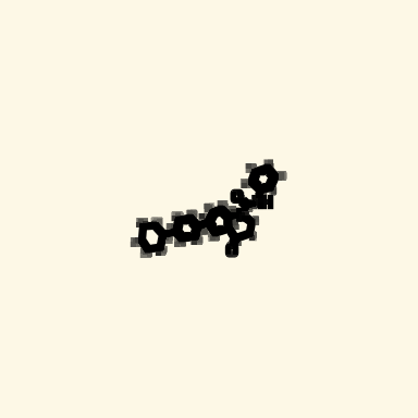 O=C1CCN(C(=O)Nc2ccccc2)c2ccc(-c3ccc(C4CCCCC4)cc3)cc21